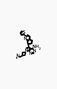 CN(C)CC1CC(n2cc(-c3ccc4ccc(-c5cccs5)nc4c3)c3c(N)ncnc32)C1